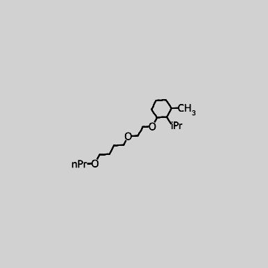 CCCOCCCCOCCOC1CCCC(C)C1C(C)C